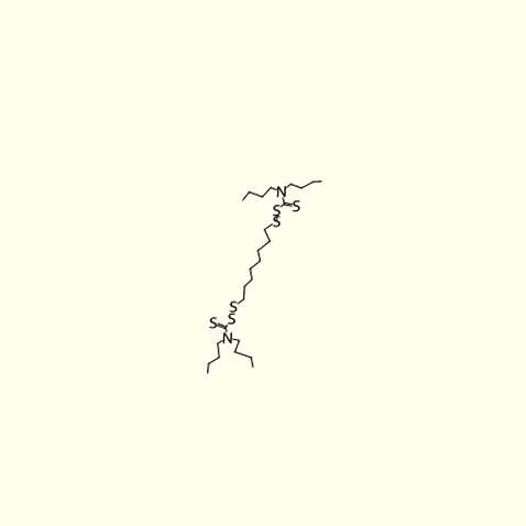 CCCCN(CCCC)C(=S)SSCCCCCCCCSSC(=S)N(CCCC)CCCC